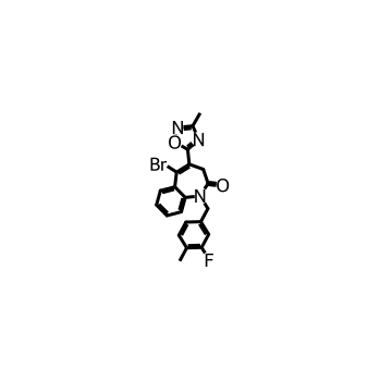 Cc1noc(C2=C(Br)c3ccccc3N(Cc3ccc(C)c(F)c3)C(=O)C2)n1